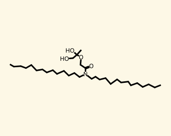 CCCCCCCCCCCCCCN(CCCCCCCCCCCCCC)C(=O)COC(C)(O)CO